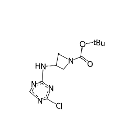 CC(C)(C)OC(=O)N1CC(Nc2ncnc(Cl)n2)C1